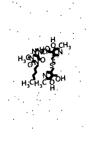 CCCCCCn1c(=O)c2c(ncn2C)n(C)c1=O.Cc1ncc(CSSCc2cnc(C)c(O)c2CO)c(CO)c1O